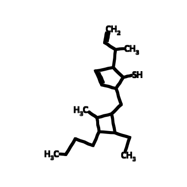 C=CC(C)C1C=CC(CC2C(C)C(CCCC)C2CC)C1S